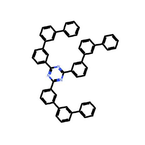 c1ccc(-c2cccc(-c3cccc(-c4nc(-c5cccc(-c6cccc(-c7ccccc7)c6)c5)nc(-c5cccc(-c6cccc(-c7ccccc7)c6)c5)n4)c3)c2)cc1